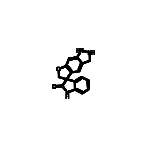 O=C1Nc2ccccc2C12COc1cc3c(cc12)CNN3